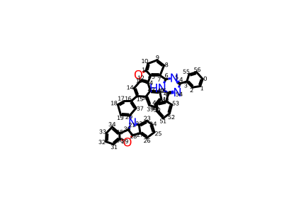 c1ccc(C2=NC(c3cccc4oc5cc(-c6cccc(N7c8ccccc8C8Oc9ccccc9C87)c6)c6ccccc6c5c34)NC(c3ccccc3)=N2)cc1